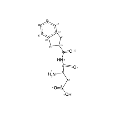 N[C@@H](CC(=O)O)C(=O)NC(=O)C1Cc2ccccc2C1